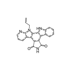 C=CCn1c2ncccc2c2c3c(c4c5ccccc5[nH]c4c21)C(=O)NC3=O